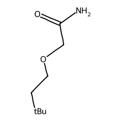 CC(C)(C)CCOCC(N)=O